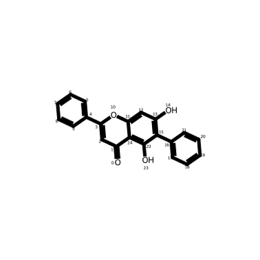 O=c1cc(-c2ccccc2)oc2cc(O)c(-c3c[c]ccc3)c(O)c12